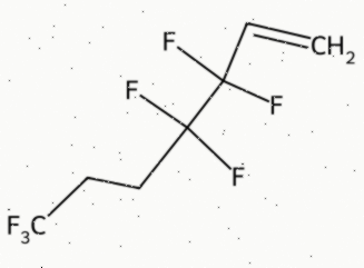 C=CC(F)(F)C(F)(F)CCC(F)(F)F